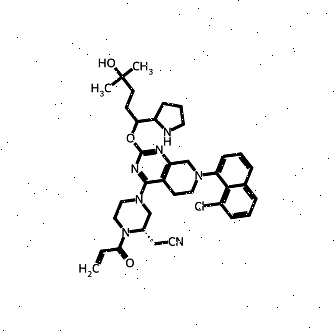 C=CC(=O)N1CCN(c2nc(OC(CCC(C)(C)O)C3CCCN3)nc3c2CCN(c2cccc4cccc(Cl)c24)C3)C[C@@H]1CC#N